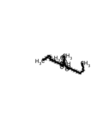 CCCCC/C=C\C/C=C\CCCCCCCCOC(=O)CC[C@H](NC(=O)OCCN(C)C)C(=O)OCCCCCCCC/C=C\C/C=C\CCCCC